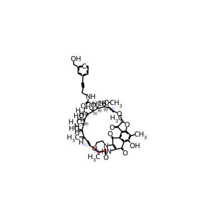 CO[C@H]1/C=C/O[C@@]2(C)Oc3c(C)c(O)c4c(c3C2=O)C(=O)C(N2CCOCC2)=C(NC(=O)/C(C)=C\C=C\[C@H](C)[C@H](O)[C@@H](C)[C@@H](O)[C@@H](C)[C@H](OC(=O)NCC#Cc2cccc(CO)c2)[C@@H]1C)C4=O